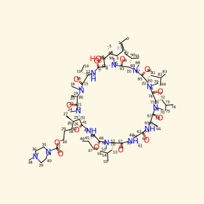 C/C=C/C[C@@H](C)[C@@H](O)[C@H]1C(=O)N[C@@H](CC)C(=O)N(C)[C@H](C)C(=O)N(C)[C@@H]([C@H](C)CCCOC(=O)N2CCN(C)CC2)C(=O)N[C@@H](C(C)C)C(=O)N(C)[C@@H](CC(C)C)C(=O)N[C@@H](C)C(=O)N[C@H](C)C(=O)N(C)[C@@H](CC(C)C)C(=O)N(C)[C@@H](CC(C)C)C(=O)N(C)[C@@H](C(C)C)C(=O)N1C